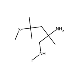 CSC(C)(C)CC(C)(N)CNI